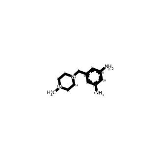 CN1CCN(Cc2cc(N)cc(N)c2)CC1